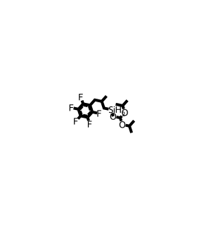 CC(C[SiH2]OC(OC(C)C)OC(C)C)Cc1c(F)c(F)c(F)c(F)c1F